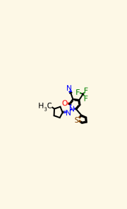 CC1CC/C(=N/n2c(-c3cccs3)cc(C(F)(F)F)c(C#N)c2=O)C1